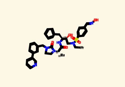 CC[C@H](C)[C@@H](C(=O)N[C@@H](Cc1ccccc1)[C@H](O)CN(CC(C)C)S(=O)(=O)c1ccc(C=NO)cc1)N1CCN(Cc2cccc(-c3cccnc3)c2)C1=O